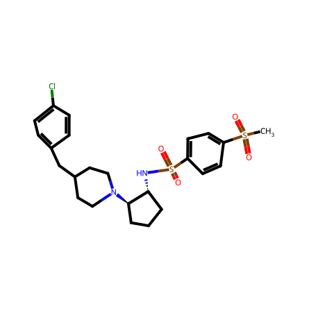 CS(=O)(=O)c1ccc(S(=O)(=O)N[C@@H]2CCC[C@H]2N2CCC(Cc3ccc(Cl)cc3)CC2)cc1